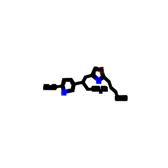 CCOC(=O)CC(Cc1csc(CCCC=O)n1)c1ccc(OC)nc1